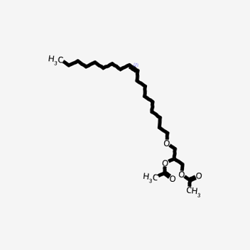 CCCCCCCC/C=C\CCCCCCCCOCC(COC(C)=O)OC(C)=O